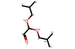 CC(C)COC(C=O)OCC(C)C